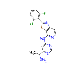 CC(N)c1cc(Nc2nccc3nc(-c4c(F)cccc4Cl)sc23)ncn1